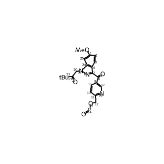 COc1ccc2c(C(=O)c3ccc(COP=O)nc3)nn(CC(=O)C(C)(C)C)c2c1